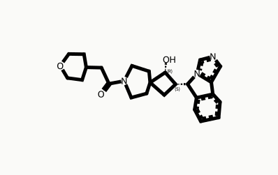 O=C(CC1CCOCC1)N1CCC2(CC1)C[C@@H](C1c3ccccc3-c3cncn31)[C@H]2O